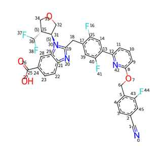 N#Cc1ccc(COc2cccc(-c3cc(F)c(Cc4nc5ccc(C(=O)O)cc5n4[C@@H]4COC[C@H]4C(F)F)cc3F)n2)c(F)c1